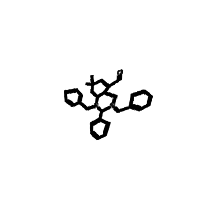 CC1(C)CC(C=O)C2CN(Cc3ccccc3)C(c3ccccc3)N(Cc3ccccc3)C2C1